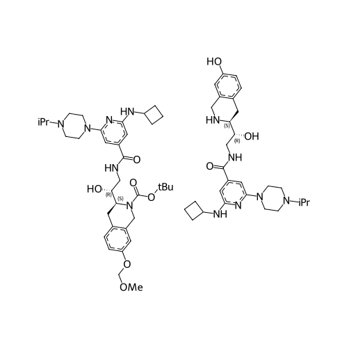 CC(C)N1CCN(c2cc(C(=O)NC[C@@H](O)[C@@H]3Cc4ccc(O)cc4CN3)cc(NC3CCC3)n2)CC1.COCOc1ccc2c(c1)CN(C(=O)OC(C)(C)C)[C@H]([C@H](O)CNC(=O)c1cc(NC3CCC3)nc(N3CCN(C(C)C)CC3)c1)C2